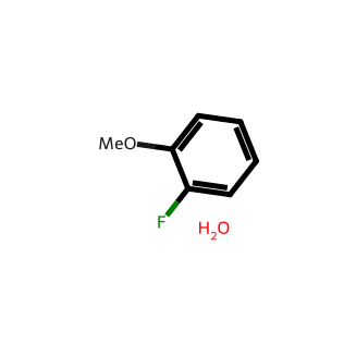 COc1ccccc1F.O